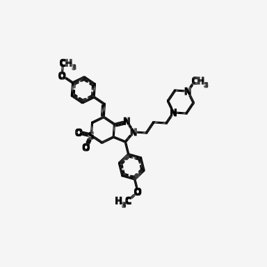 COc1ccc(C=C2CS(=O)(=O)CC3C2=NN(CCCN2CCN(C)CC2)C3c2ccc(OC)cc2)cc1